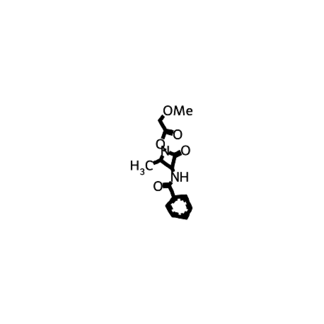 COCC(=O)ON1C(=O)C(NC(=O)c2ccccc2)C1C